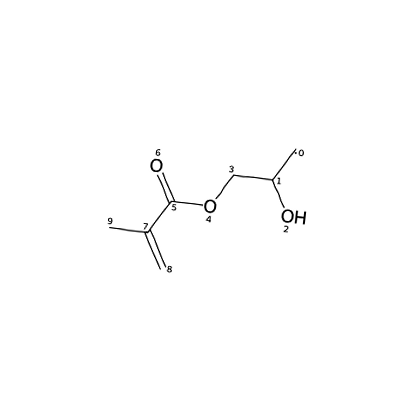 [CH2]C(O)COC(=O)C(=C)C